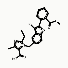 CCc1nc(C)c(C(=O)O)n1Cc1ccc2oc(-c3ccccc3C(=O)OC)c(Br)c2c1